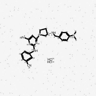 CCCc1cc(N2CC[C@H](NCc3ccc(N(C)C)cc3)C2)nc(Nc2cccc(C#N)c2)n1.Cl.Cl